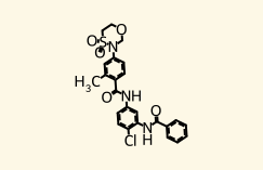 Cc1cc(N2COCCS2(=O)=O)ccc1C(=O)Nc1ccc(Cl)c(NC(=O)c2ccccc2)c1